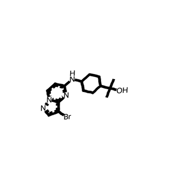 CC(C)(O)C1CCC(Nc2ccn3ncc(Br)c3n2)CC1